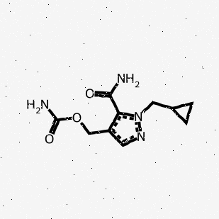 NC(=O)OCc1cnn(CC2CC2)c1C(N)=O